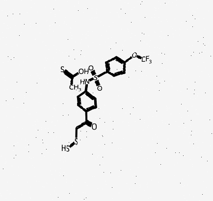 CC(O)=S.O=C(CSS)c1ccc(NS(=O)(=O)c2ccc(OC(F)(F)F)cc2)cc1